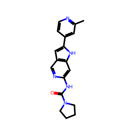 Cc1cc(-c2cc3cnc(NC(=O)N4CCCC4)cc3[nH]2)ccn1